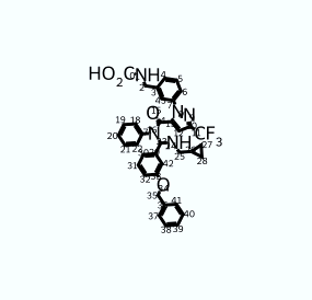 O=C(O)NCc1cccc(-n2nc(C(F)(F)F)cc2C(=O)N(c2ccccc2)C(NCC2CC2)c2cccc(OCc3ccccc3)c2)c1